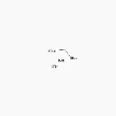 Br.CCCCCC(C)(C)C.N